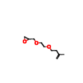 C=C(C)CCOCCOCC1CO1